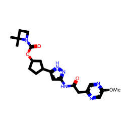 COc1cnc(CC(=O)Nc2cc(C3CCC(OC(=O)N4CCC4(C)C)C3)[nH]n2)cn1